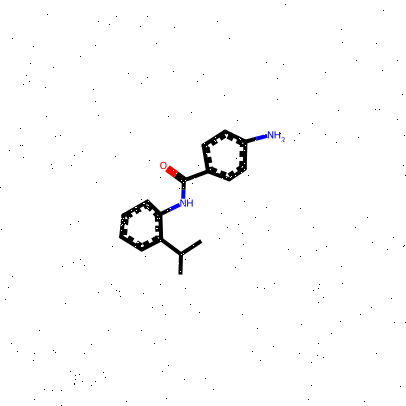 CC(C)c1ccccc1NC(=O)c1ccc(N)cc1